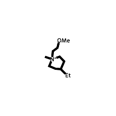 CCC1CC[N+](C)(CCOC)CC1